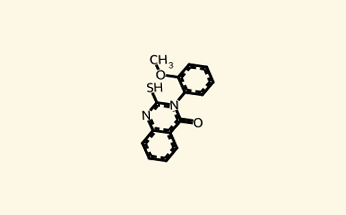 COc1ccccc1-n1c(S)nc2ccccc2c1=O